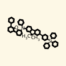 CC1(C)c2cc(-c3ccc([Si](c4ccccc4)(c4ccccc4)c4ccccc4)cc3)ccc2-c2ccc(N(c3ccccc3)c3cccc4c3oc3c(-c5ccccc5)cccc34)cc21